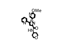 COc1ccc(-n2nc(C(=O)NC3CCOCC3)cc2-c2ccccn2)cn1